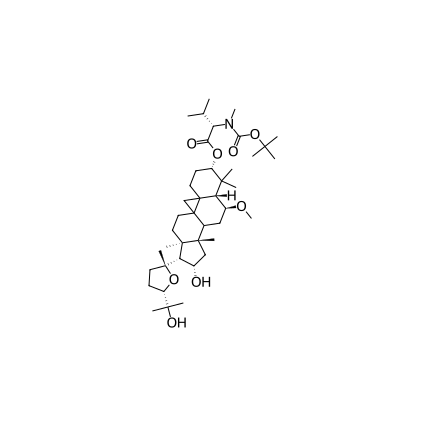 CO[C@H]1CC2C3(CC[C@]4(C)[C@@H]([C@@]5(C)CC[C@@H](C(C)(C)O)O5)[C@@H](O)C[C@@]24C)CC32CC[C@H](OC(=O)[C@H](C(C)C)N(C)C(=O)OC(C)(C)C)C(C)(C)[C@H]12